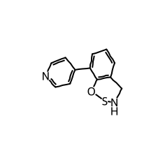 c1cc2c(c(-c3ccncc3)c1)OSNC2